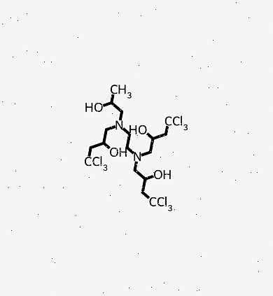 CC(O)CN(CCN(CC(O)CC(Cl)(Cl)Cl)CC(O)CC(Cl)(Cl)Cl)CC(O)CC(Cl)(Cl)Cl